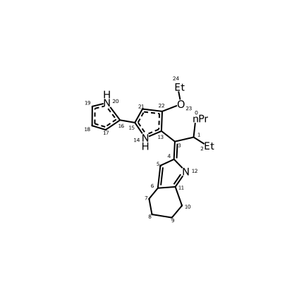 CCCC(CC)C(=C1C=C2CCCCC2=N1)c1[nH]c(-c2ccc[nH]2)cc1OCC